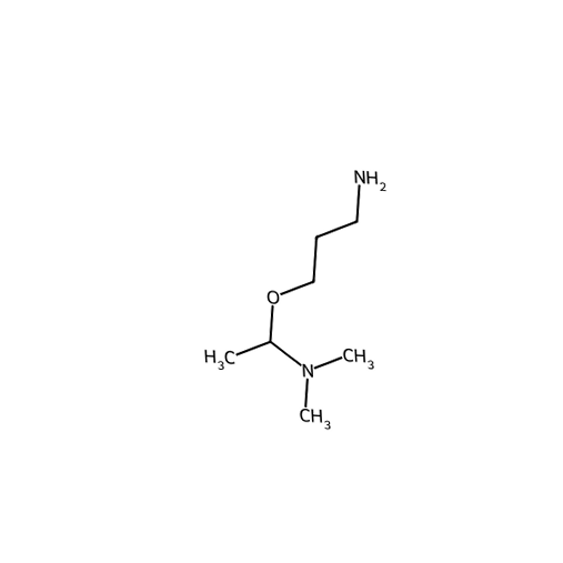 CC(OCCCN)N(C)C